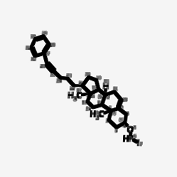 C[C@]12CC[C@H](OPI)CC1=CC[C@@H]1C2CC[C@@]2(C)C1CC[C@@H]2CCCC#Cc1ccccc1